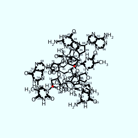 CC[C@H]1O[C@@H](n2cc(C)c(=O)[nH]c2=O)CC1OP(=O)(S)OC[C@H]1O[C@@H](n2cc(C)c(=O)[nH]c2=O)CC1OP(=O)(S)OC[C@H]1O[C@@H](n2cnc3c(=O)[nH]c(N)nc32)CC1OP(=O)(S)OC[C@H]1O[C@@H](n2cnc3c(=O)[nH]c(N)nc32)CC1OP(=O)(S)OC[C@H]1O[C@@H](n2cnc3c(N)ncnc32)CC1OP(=O)(S)OC[C@H]1O[C@@H](n2cnc3c(=O)[nH]c(N)nc32)CC1OP(=O)(S)OC